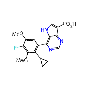 COc1cc(-c2ncnc3c(C(=O)O)c[nH]c23)c(C2CC2)c(OC)c1F